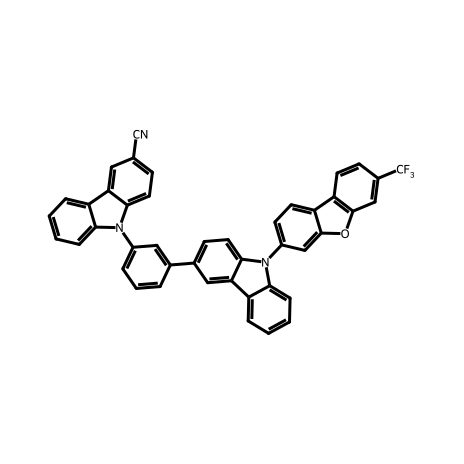 N#Cc1ccc2c(c1)c1ccccc1n2-c1cccc(-c2ccc3c(c2)c2ccccc2n3-c2ccc3c(c2)oc2cc(C(F)(F)F)ccc23)c1